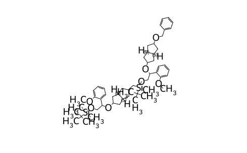 COc1ccccc1C(CO[Si](C)(C)C(C)(C)C)OC1C[C@H]2CC(C[Si](C)(OCC(OC3C[C@H]4CC(OCc5ccccc5)C[C@H]4C3)c3ccccc3OC)C(C)(C)C)C[C@H]2C1